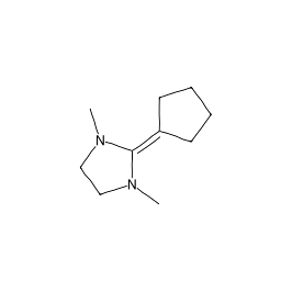 CN1CCN(C)C1=C1CCCC1